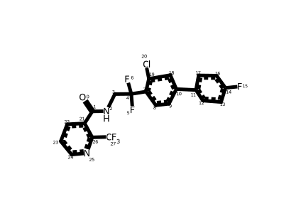 O=C(NCC(F)(F)c1ccc(-c2ccc(F)cc2)cc1Cl)c1cccnc1C(F)(F)F